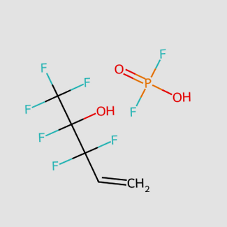 C=CC(F)(F)C(O)(F)C(F)(F)F.O=P(O)(F)F